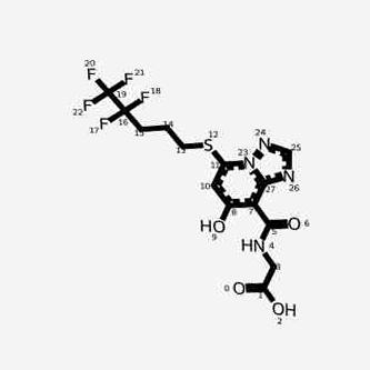 O=C(O)CNC(=O)c1c(O)cc(SCCCC(F)(F)C(F)(F)F)n2ncnc12